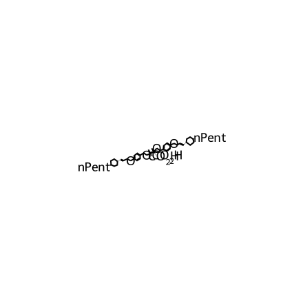 CCCCC[C@H]1CC[C@H](C=CCOc2ccc(CO[C@@](C)(C(=O)O)[C@@](C)(OCc3ccc(OCC=C[C@H]4CC[C@H](CCCCC)CC4)cc3)C(=O)O)cc2)CC1